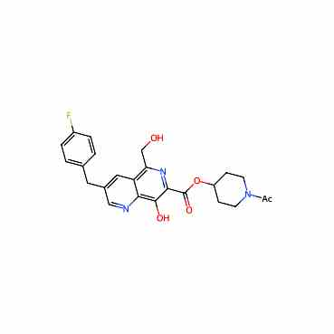 CC(=O)N1CCC(OC(=O)c2nc(CO)c3cc(Cc4ccc(F)cc4)cnc3c2O)CC1